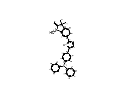 C=C1N(O)c2cc(-c3ccc(-c4ccc(N(c5ccccc5)c5ccccc5)cc4)s3)ccc2C1(C)C